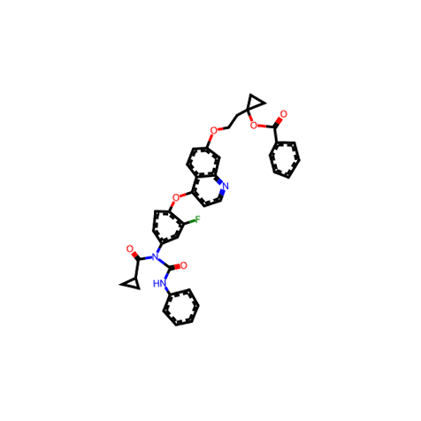 O=C(OC1(CCOc2ccc3c(Oc4ccc(N(C(=O)Nc5ccccc5)C(=O)C5CC5)cc4F)ccnc3c2)CC1)c1ccccc1